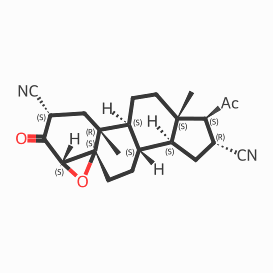 CC(=O)[C@H]1[C@H](C#N)C[C@H]2[C@@H]3CC[C@@]45O[C@@H]4C(=O)[C@H](C#N)C[C@]5(C)[C@H]3CC[C@@]21C